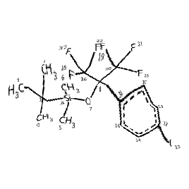 CC(C)(C)[Si](C)(C)OC(c1ccc(I)cc1)(C(F)(F)F)C(F)(F)F